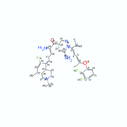 C=C(C)/C(=C\C=C(/C)Oc1cccc(F)c1F)N(/N=C\C(C)C(=O)/C(N)=C/C/C=C(\C(F)=C/CC)C1CCN(C(C)C)CC1)C(=C)N